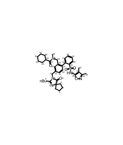 CCCCC1=NC2(CCCC2)C(=O)N1Cc1ccc(-c2ccccc2S(=O)(=O)Nc2onc(C)c2C)c(CN(C)C(=O)C2CCCCC2)c1